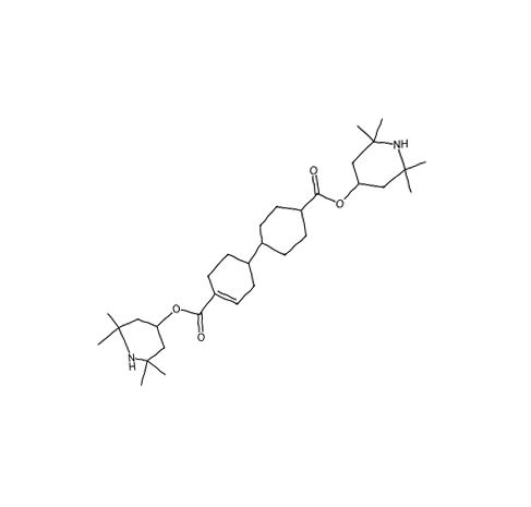 CC1(C)CC(OC(=O)C2=CCC(C3CCC(C(=O)OC4CC(C)(C)NC(C)(C)C4)CC3)CC2)CC(C)(C)N1